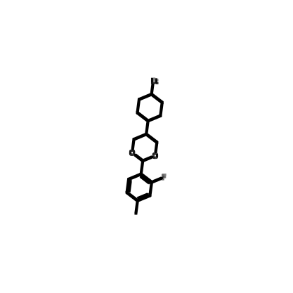 CCC1CCC(C2COC(c3ccc(C)cc3F)OC2)CC1